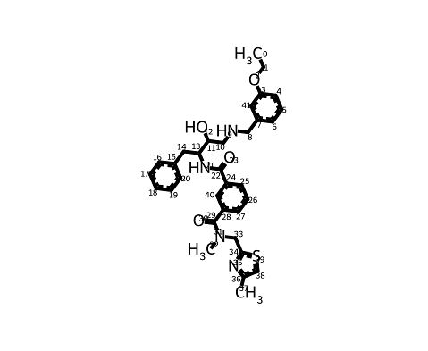 CCOc1cccc(CNCC(O)C(Cc2ccccc2)NC(=O)c2cccc(C(=O)N(C)Cc3nc(C)cs3)c2)c1